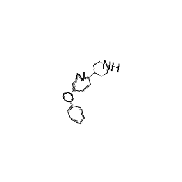 c1ccc(Oc2ccc(C3CCNCC3)nc2)cc1